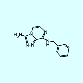 Nc1nnc2c(NCc3ccccc3)nccn12